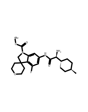 CC(C)(C)OC(=O)N1CC2(CCOCC2)c2c(F)cc(NC(=O)[C@@H](N)[C@H]3CC[C@H](C)CC3)cc21